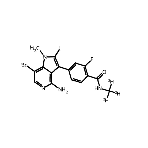 [2H]C([2H])([2H])NC(=O)c1ccc(-c2c(I)n(C)c3c(Br)cnc(N)c23)cc1F